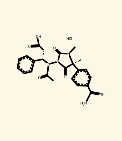 CC(=O)N([C@@H](CC(=O)O)c1ccccc1)N1C(=O)N(C)[C@@](C)(c2ccc(C(=N)N)cc2)C1=O.Cl